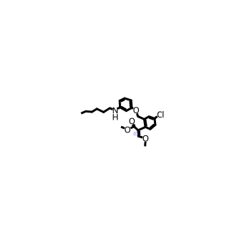 CCCCCCNc1cccc(OCc2cc(Cl)ccc2/C(=C\OC)C(=O)OC)c1